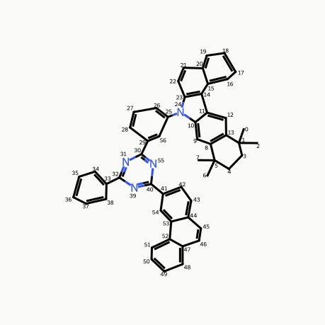 CC1(C)CCC(C)(C)c2cc3c(cc21)c1c2ccccc2ccc1n3-c1cccc(-c2nc(-c3ccccc3)nc(-c3ccc4ccc5ccccc5c4c3)n2)c1